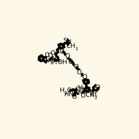 CCN(c1cc(-c2ccc(OCCOCCOCCOCCOCCOc3cc(-c4scnc4C)ccc3CCC(=O)C3C[C@@H](O)CN3C(=O)[C@H](C(C)C)N3Cc4ccccc4C3=O)cc2)cc(C(=O)NCc2c(C)cc(C)[nH]c2=O)c1C)C1CCOCC1